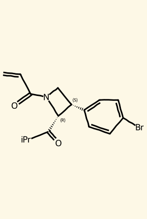 C=CC(=O)N1C[C@H](c2ccc(Br)cc2)[C@@H]1C(=O)C(C)C